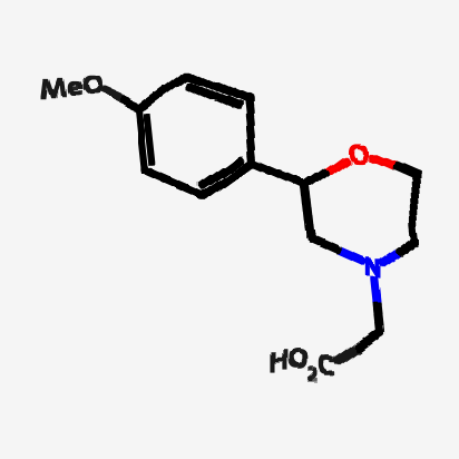 COc1ccc(C2CN(CC(=O)O)CCO2)cc1